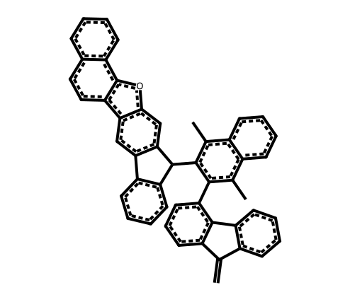 C=C1c2ccccc2-c2c1cccc2-c1c(C2c3ccccc3-c3cc4c(cc32)oc2c3ccccc3ccc42)c(C)c2ccccc2c1C